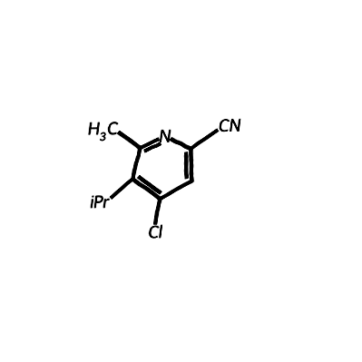 Cc1nc(C#N)cc(Cl)c1C(C)C